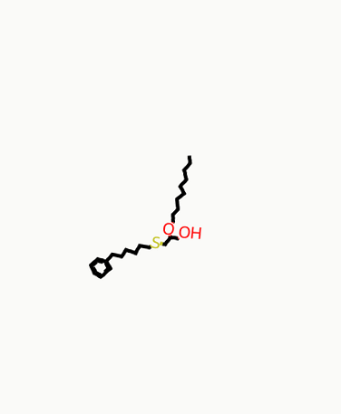 CCCCCCCCCCOC(CO)CSCCCCCCc1ccccc1